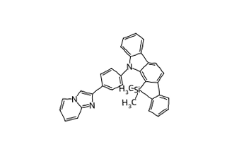 C[Si]1(C)c2ccccc2-c2ccc3c4ccccc4n(-c4ccc(-c5cn6ccccc6n5)cc4)c3c21